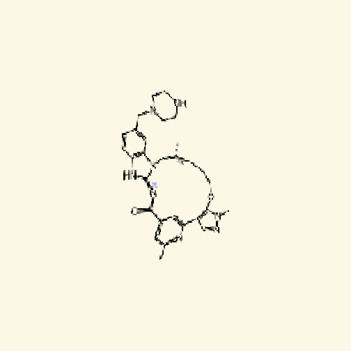 Cc1cc2cc(n1)-c1cnn(C)c1OCCC[C@@H](C)CN1/C(=N/C2=O)Nc2ccc(CN3CCNCC3)cc21